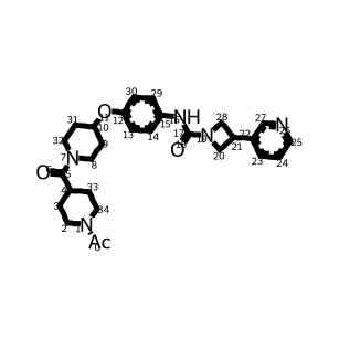 CC(=O)N1CCC(C(=O)N2CCC(Oc3ccc(NC(=O)N4CC(c5cccnc5)C4)cc3)CC2)CC1